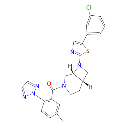 Cc1ccc(-n2nccn2)c(C(=O)N2CC[C@H]3CN(c4ncc(-c5cccc(Cl)c5)s4)[C@H]3C2)c1